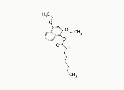 CCCCCCNC(=O)Oc1c(OCC)cc(OCC)c2ccccc12